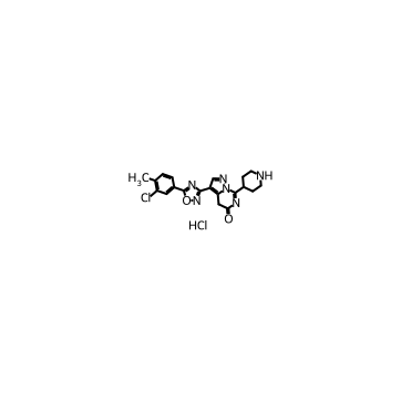 Cc1ccc(-c2nc(-c3cnn4c3CC(=O)N=C4C3CCNCC3)no2)cc1Cl.Cl